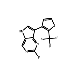 Fc1ncc2[nH]cc(-c3ccsc3C(F)(F)F)c2n1